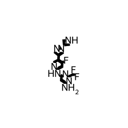 Nc1cc(Nc2cc(F)c(-c3cnn(C4CNC4)c3)cn2)nc(C(F)F)n1